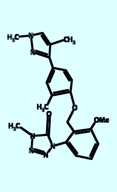 COc1cccc(-n2nnn(C)c2=O)c1COc1ccc(-c2nn(C)cc2C)cc1C